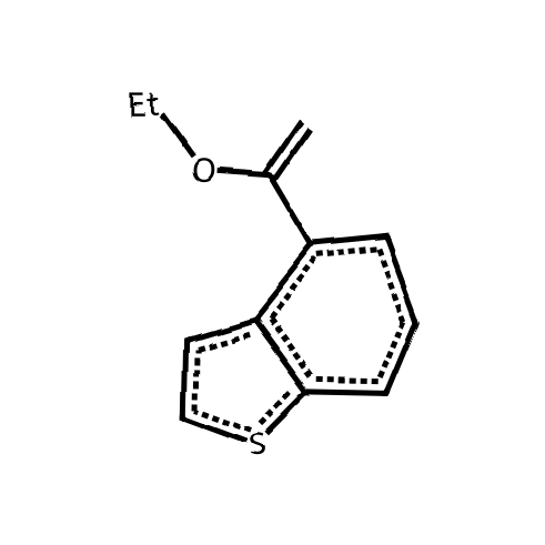 C=C(OCC)c1cccc2sccc12